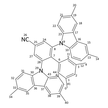 Cc1cc(C)cc(-c2c(-n3c4ccc(C)cc4c4cc(C)ccc43)cc(C#N)cc2-n2c3ccc(C)cc3c3cc(C)ccc32)c1